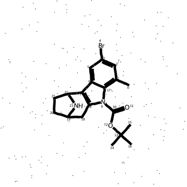 Cc1cc(Br)cc2c3c(n(C(=O)OC(C)(C)C)c12)CC1CCC3N1